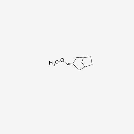 COC=C1CC2CCC(C1)C2